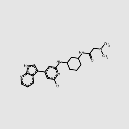 CN(C)CC(=O)NC1CCCC(Nc2cc(-c3c[nH]c4ncccc34)cc(Cl)n2)C1